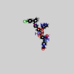 CC1(C)CCC(CN2CC=C(c3ccc(C(=O)NS(=O)(=O)c4ccc(NCC5(F)CCN(C6COC6)CC5)c([N+](=O)[O-])c4)c(Oc4cnc5[nH]ccc5c4)c3)CC2)=C(c2ccc(Cl)cc2)C1